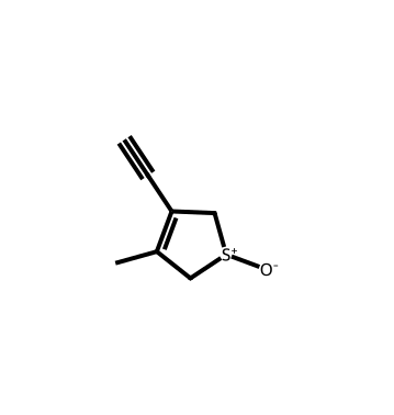 C#CC1=C(C)C[S+]([O-])C1